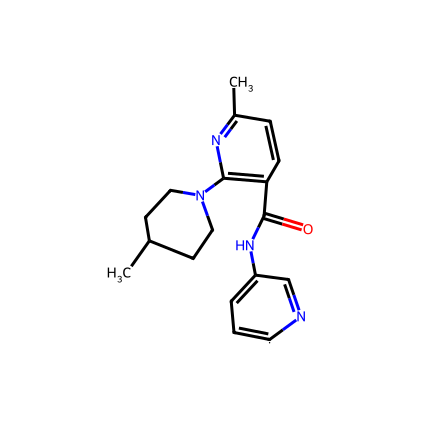 Cc1ccc(C(=O)Nc2cc[c]nc2)c(N2CCC(C)CC2)n1